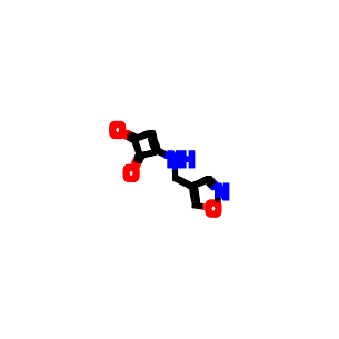 O=c1cc(NCc2cnoc2)c1=O